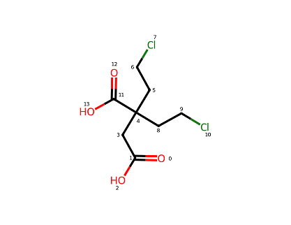 O=C(O)CC(CCCl)(CCCl)C(=O)O